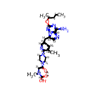 CCC[C@@H](C)Oc1nc(N)c2ncc(Cc3cnc(N4CCN(C(=O)CN(C)C(=O)O)CC4)c(C)c3)n2n1